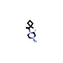 C=C(N1CCN(C(C)C)C[C@H]1C)C1(C)CCC1